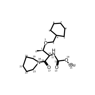 C[C@@H](OCC1CCCCC1)[C@@H](NC(=O)OC(C)(C)C)C(=O)N1CCCCC1